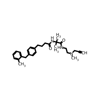 C#CCN(C)CCNC(=O)C(C)(C)NC(=O)CCCc1ccc(Cc2ccccc2C)cc1